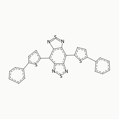 c1ccc(-c2ccc(-c3c4c(c(-c5ccc(-c6ccccc6)s5)c5nsnc35)N=S=N4)s2)cc1